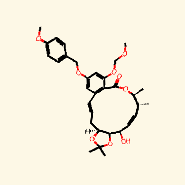 COCOc1cc(OCc2ccc(OC)cc2)cc2c1C(=O)O[C@@H](C)[C@H](C)/C=C\[C@@H](O)C1OC(C)(C)O[C@H]1C/C=C/2